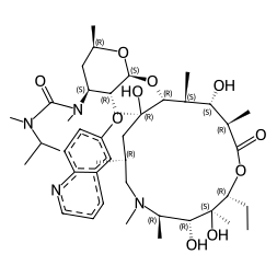 CC[C@H]1OC(=O)[C@H](C)[C@@H](O)[C@H](C)[C@@H](O[C@@H]2O[C@H](C)C[C@H](N(C)C(=O)N(C)C(C)C)[C@H]2Oc2ccc3ncccc3c2)[C@](C)(O)C[C@@H](C)CN(C)[C@H](C)[C@@H](O)[C@]1(C)O